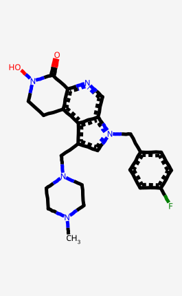 CN1CCN(Cc2cn(Cc3ccc(F)cc3)c3cnc4c(c23)CCN(O)C4=O)CC1